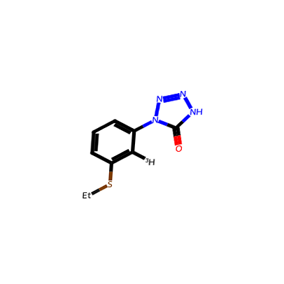 [3H]c1c(SCC)cccc1-n1nn[nH]c1=O